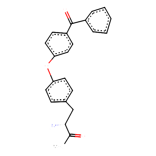 COC(=O)[C@H](N)Cc1ccc(Oc2ccc(C(=O)c3ccccc3)cc2)cc1